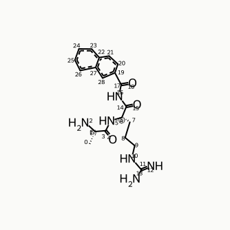 C[C@H](N)C(=O)N[C@@H](CCCNC(=N)N)C(=O)NC(=O)c1ccc2ccccc2c1